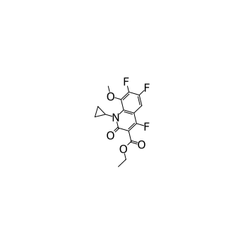 CCOC(=O)c1c(F)c2cc(F)c(F)c(OC)c2n(C2CC2)c1=O